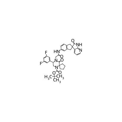 CC(C)(C)OC(=O)N1CC(c2cc(F)cc(F)c2)N(CC(=O)Nc2ccc3c(c2)CC2(C3)C(=O)Nc3ncccc32)C(=O)C12CCCC2